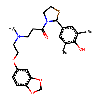 CN(CCOc1ccc2c(c1)OCO2)CCC(=O)N1CCSC1c1cc(C(C)(C)C)c(O)c(C(C)(C)C)c1